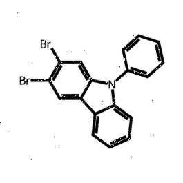 Brc1cc2c3ccccc3n(-c3ccccc3)c2cc1Br